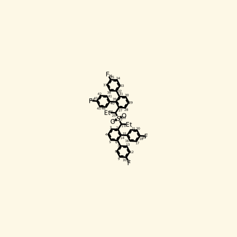 CCC(c1cccc(-c2ccc(F)cc2)c1-c1ccc(F)cc1)S(=O)(=O)C(CC)c1cccc(-c2ccc(F)cc2)c1-c1ccc(F)cc1